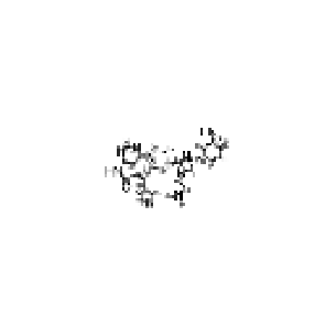 CN(C)CCn1cc(-c2ccc(F)c(C(F)(F)F)c2)nc1C1CCN(c2ncnc3c2C(=Cc2cncs2)C(=O)N3)CC1